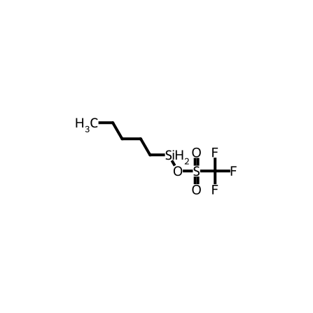 CCCCC[SiH2]OS(=O)(=O)C(F)(F)F